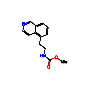 CC(C)(C)OC(=O)NCCc1cccc2cnccc12